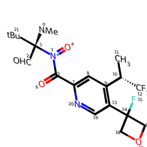 CN[C@](C=O)([N+](=O)C(=O)c1cc([C@H](C)C(F)(F)F)c(C2(F)COC2)cn1)C(C)(C)C